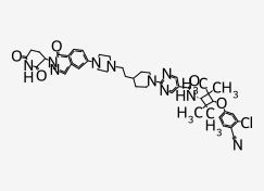 CC1(C)[C@H](NC(=O)c2cnc(N3CCC(CCN4CCN(c5ccc6c(=O)n(C7CCC(=O)NC7=O)ncc6c5)CC4)CC3)nc2)C(C)(C)[C@H]1Oc1ccc(C#N)c(Cl)c1